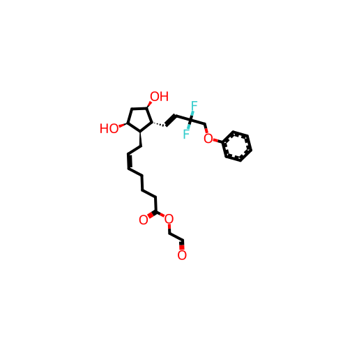 O=CCOC(=O)CCC/C=C\C[C@@H]1[C@@H](/C=C/C(F)(F)COc2ccccc2)[C@H](O)C[C@@H]1O